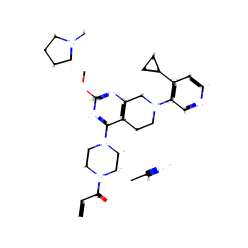 C=CC(=O)N1CCN(c2nc(OC[C@@H]3CCCN3C)nc3c2CCN(c2cnccc2C2CC2)C3)C[C@@H]1CC#N